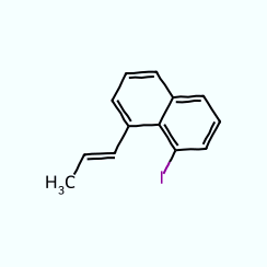 CC=Cc1cccc2cccc(I)c12